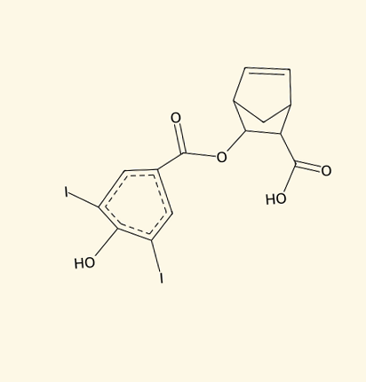 O=C(OC1C2C=CC(C2)C1C(=O)O)c1cc(I)c(O)c(I)c1